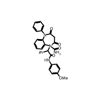 COc1ccc(NC(=O)C(C(C)C)[N+]2(C(N)=O)C(=O)[CH]C(=O)N(c3ccccc3)c3ccccc32)cc1